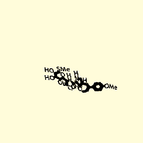 COc1ccc(C2=CCO[C@@H]3[C@H](CN[C@@H]3C(=O)N[C@@H](C3OC(SC)C(O)C(O)C3O)[C@H](C)Cl)C2)cc1